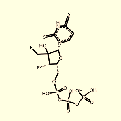 O=P(O)(O)OP(=O)(O)OP(=O)(O)OC[C@H]1O[C@@H](n2ccc(=S)[nH]c2=S)C(O)(CF)[C@H]1F